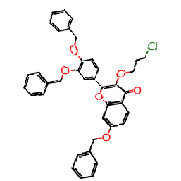 O=c1c(OCCCCl)c(-c2ccc(OCc3ccccc3)c(OCc3ccccc3)c2)oc2cc(OCc3ccccc3)ccc12